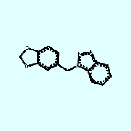 c1ccc2c(c1)nnn2Cc1ccc2c(c1)OCO2